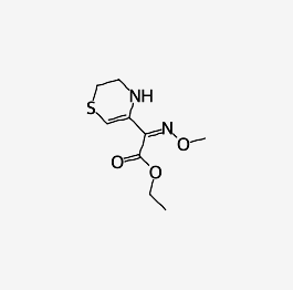 CCOC(=O)C(=NOC)C1=CSCCN1